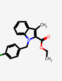 CCOC(=O)c1c(C)c2ccccc2n1Cc1ccc(Cl)cc1